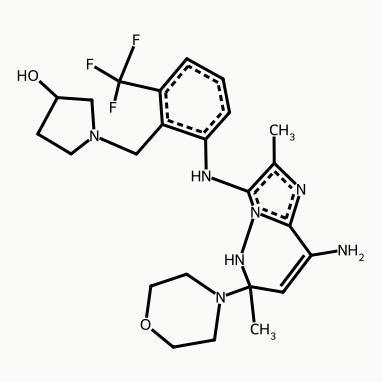 Cc1nc2n(c1Nc1cccc(C(F)(F)F)c1CN1CCC(O)C1)NC(C)(N1CCOCC1)C=C2N